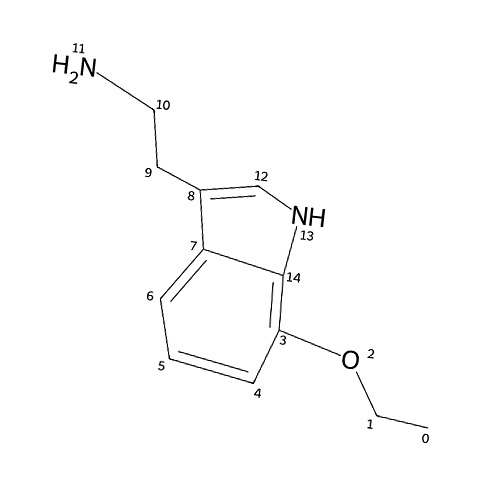 CCOc1cccc2c(CCN)c[nH]c12